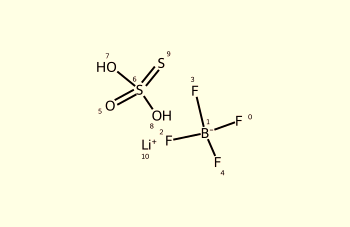 F[B-](F)(F)F.O=S(O)(O)=S.[Li+]